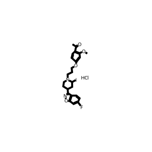 COc1cc(OCCCN2CCC(c3noc4cc(F)ccc34)CC2I)ccc1C(C)=O.Cl